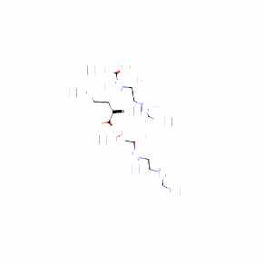 C=C(CCC)C(=O)O.CCNCCNC(C)=O.CCNCCNC(C)=O.Cl